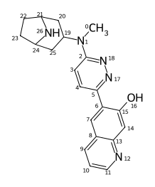 CN(c1ccc(-c2cc3cccnc3cc2O)nn1)C1CC2CCC(C1)N2